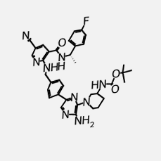 C[C@H](NC(=O)c1cc(C#N)cnc1NCc1ccc(-c2cnc(N)c(N3CCCC(NC(=O)OC(C)(C)C)C3)n2)cc1)c1ccc(F)cc1